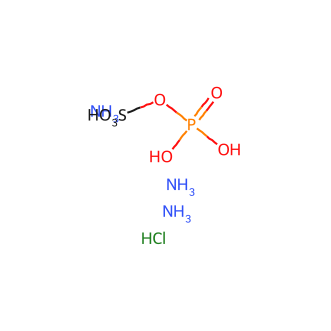 Cl.N.N.N.O=P(O)(O)OS(=O)(=O)O